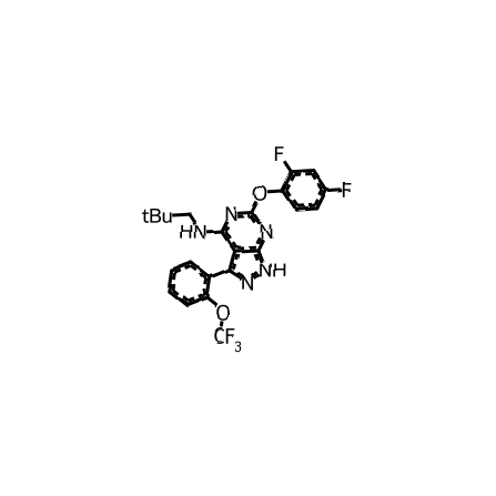 CC(C)(C)CNc1nc(Oc2ccc(F)cc2F)nc2[nH]nc(-c3ccccc3OC(F)(F)F)c12